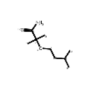 CC(C)CCOC(C)(C)C(N)=O